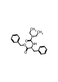 CCN(CC)C(=O)N[C@@H](Cc1ccccc1)C(=O)OCc1ccccc1